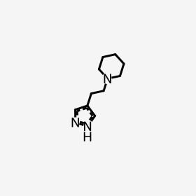 c1n[nH]cc1CCN1CCCCC1